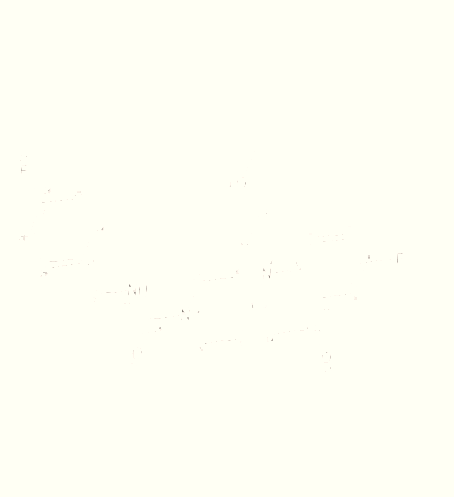 COCCN1c2ccc(F)cc2C(=O)CC12CCN(C(=O)NCc1ccc(F)cc1)CC2